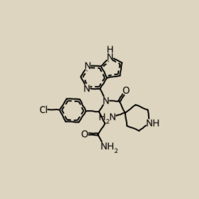 NC(=O)CC(c1ccc(Cl)cc1)N(C(=O)C1(N)CCNCC1)c1ncnc2[nH]ccc12